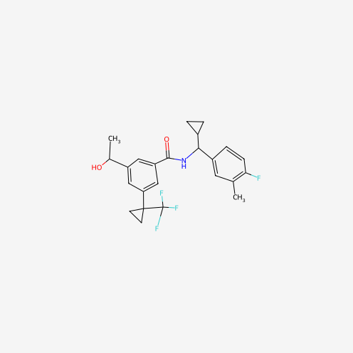 Cc1cc(C(NC(=O)c2cc(C(C)O)cc(C3(C(F)(F)F)CC3)c2)C2CC2)ccc1F